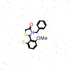 COc1cccc(F)c1C1SCC(=O)N1Cc1ccccc1